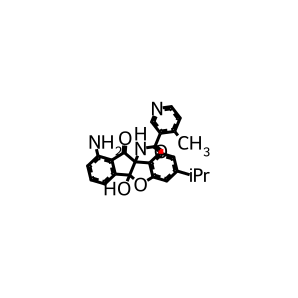 Cc1ccncc1C(=O)NC12C(=O)c3c(N)cccc3C1(O)Oc1cc(C(C)C)ccc12